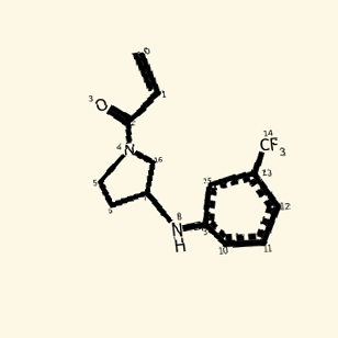 C=CC(=O)N1CCC(Nc2cccc(C(F)(F)F)c2)C1